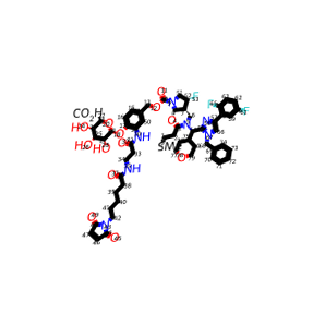 CSCCC(=O)N(C[C@@H]1CN(C(=O)OCc2ccc(O[C@@H]3O[C@H](C(=O)O)[C@@H](O)[C@H](O)[C@H]3O)c(NC(=O)CCNC(=O)CCCCCN3C(=O)C=CC3=O)c2)C[C@@H]1F)[C@@H](c1nc(-c2cc(F)ccc2F)cn1Cc1ccccc1)C1CCOCC1